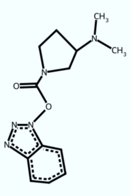 CN(C)C1CCN(C(=O)On2nnc3ccccc32)C1